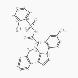 Cc1ccc(-n2ccnc2[C@H](Cc2ccccc2)NC(=O)NS(=O)(=O)c2ccccc2C)cc1